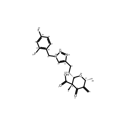 C=C1C(=O)[C@](C)(C(=O)O)[C@H](CCc2cn(Cc3ccc(F)cc3F)nn2)O[C@@H]1C